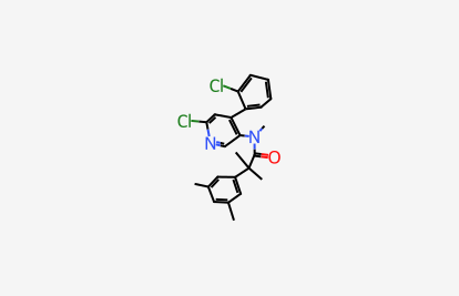 Cc1cc(C)cc(C(C)(C)C(=O)N(C)c2cnc(Cl)cc2-c2ccccc2Cl)c1